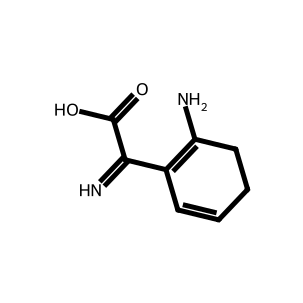 N=C(C(=O)O)C1=C(N)CCC=C1